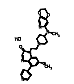 COc1cc(-c2ccncc2)c2ncc(=O)n(CCN3CCC(N(C)c4cc5c(cn4)OCCO5)CC3)c2c1.Cl